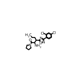 CCCC(c1nc(-c2ccc(Cl)cc2Cl)no1)C(N)C(=O)N1CCCC1